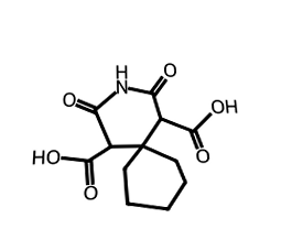 O=C(O)C1C(=O)NC(=O)C(C(=O)O)C12CCCCC2